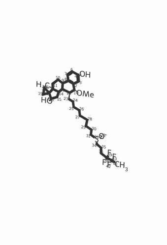 CO[C@H]1c2cc(O)ccc2C2CC[C@@]3(C)C(C[C@@H](O)C34CC4)C2[C@@H]1CCCCCCCCC[S+]([O-])CCCC(F)(F)C(C)(F)F